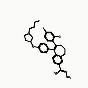 Cc1ccc(C2=C(c3ccc(OC4CCN(CCCF)C4)cc3)c3ccc(/C(N)=N/N)cc3CCC2)c(Cl)c1